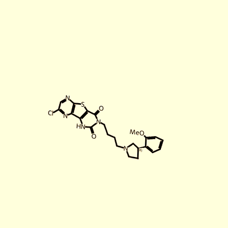 COc1ccccc1[C@H]1CCN(CCCCn2c(=O)[nH]c3c(sc4ncc(Cl)nc43)c2=O)C1